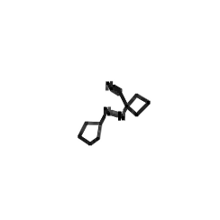 N#CC1(N=NC2CCCC2)CCC1